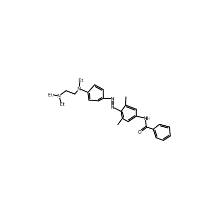 CCN(CC)CCN(CC)c1ccc(/N=N/c2c(C)cc(NC(=O)c3ccccc3)cc2C)cc1